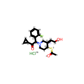 CC(=O)S[C@H]1CCN(C(C(=O)C2CC2)c2ccccc2F)C/C1=C/CO.Cl